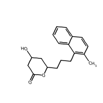 Cc1ccc2ccccc2c1CCCC1CC(O)CC(=O)O1